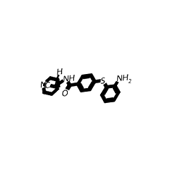 Nc1ccccc1Sc1ccc(C(=O)N[C@H]2CN3CCC2CC3)cc1